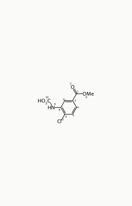 COC(=O)c1ccc(Cl)c(NC(=O)O)c1